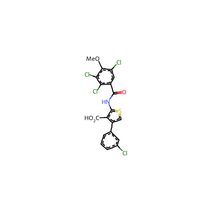 COc1c(Cl)cc(C(=O)Nc2scc(-c3cccc(Cl)c3)c2C(=O)O)c(Cl)c1Cl